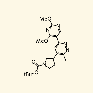 COc1ncc(-c2cc(C3CCN(C(=O)OC(C)(C)C)C3)c(C)nn2)c(OC)n1